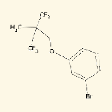 CC(COc1cccc(Br)c1)(C(F)(F)F)C(F)(F)F